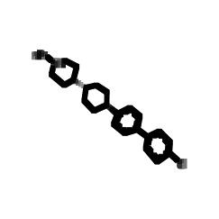 CCC[SiH]1CCC([C@H]2CC[C@H](c3ccc(-c4ccc(Cl)cc4)cc3)CC2)CC1